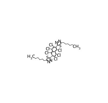 CCCCCCc1nnc(-c2c(Cl)c(Cl)c3c(Cl)c(-c4nnc(CCCCCC)s4)c(Cl)c(Cl)c3c2Cl)s1